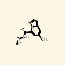 Cc1cc(C(=O)NOC(C)C)n2nccc2c1